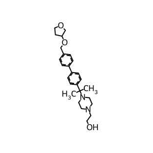 CC(C)(c1ccc(-c2ccc(COC3CCOC3)cc2)cc1)N1CCN(CCO)CC1